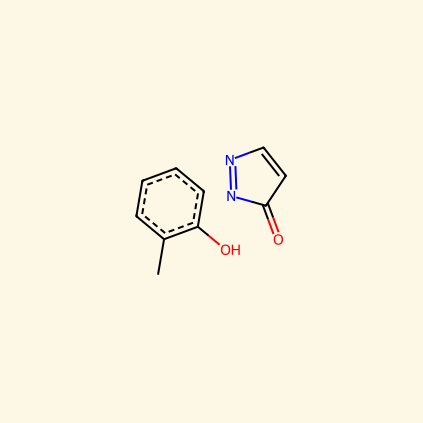 Cc1ccccc1O.O=C1C=CN=N1